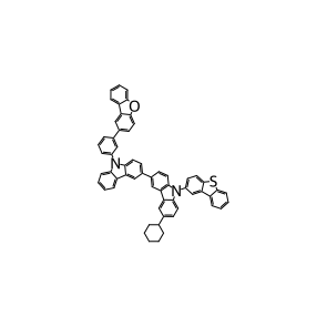 c1cc(-c2ccc3oc4ccccc4c3c2)cc(-n2c3ccccc3c3cc(-c4ccc5c(c4)c4cc(C6CCCCC6)ccc4n5-c4ccc5sc6ccccc6c5c4)ccc32)c1